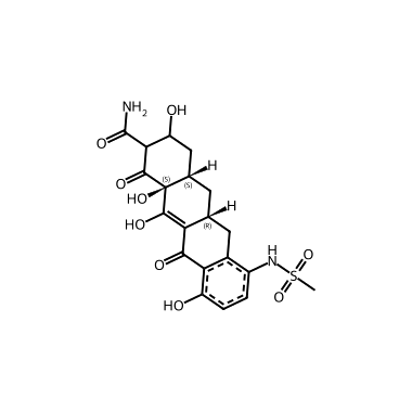 CS(=O)(=O)Nc1ccc(O)c2c1C[C@H]1C[C@H]3CC(O)C(C(N)=O)C(=O)[C@@]3(O)C(O)=C1C2=O